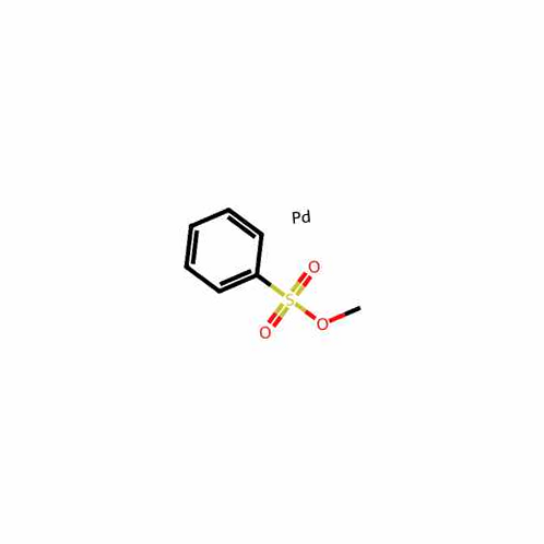 COS(=O)(=O)c1ccccc1.[Pd]